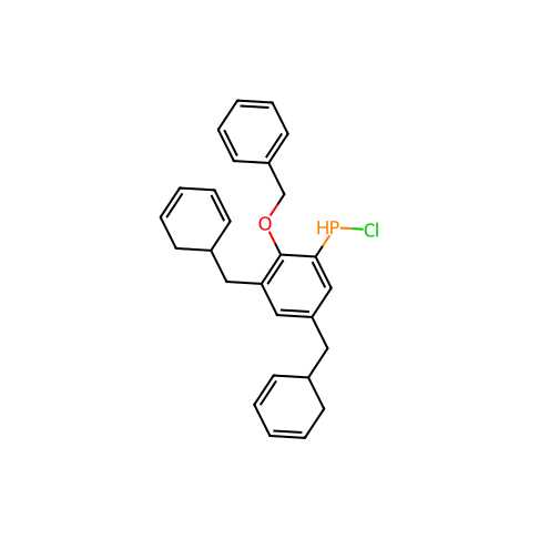 ClPc1cc(CC2C=CC=CC2)cc(CC2C=CC=CC2)c1OCc1ccccc1